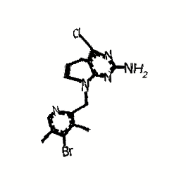 Cc1cnc(CN2CCc3c(Cl)nc(N)nc32)c(C)c1Br